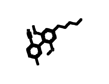 CCCCCc1cc(OC)c(-c2cc(C)ccc2C#N)c(OC)c1